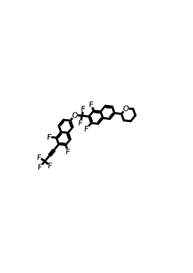 Fc1cc2cc(OC(F)(F)c3c(F)cc4cc(C5CCCCO5)ccc4c3F)ccc2c(F)c1C#CC(F)(F)F